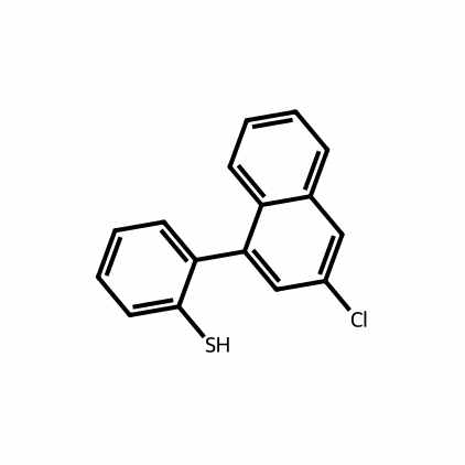 Sc1ccccc1-c1cc(Cl)cc2ccccc12